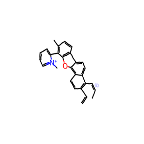 C=Cc1ccc2c(ccc3c4ccc(C)c(-c5cccc[n+]5C)c4oc23)c1/C=C\C